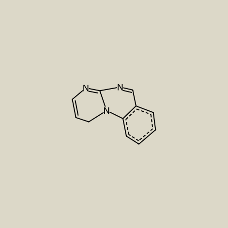 C1=CN=C2N=Cc3ccccc3N2C1